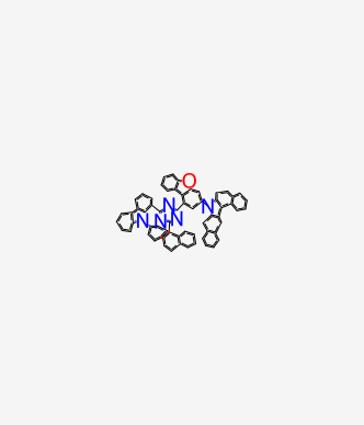 c1ccc(-n2c3ccccc3c3cccc(-c4nc(-c5cccc6ccccc56)nc(-c5cc(-n6c7cc8ccccc8cc7c7c8ccccc8ccc76)cc6oc7ccccc7c56)n4)c32)cc1